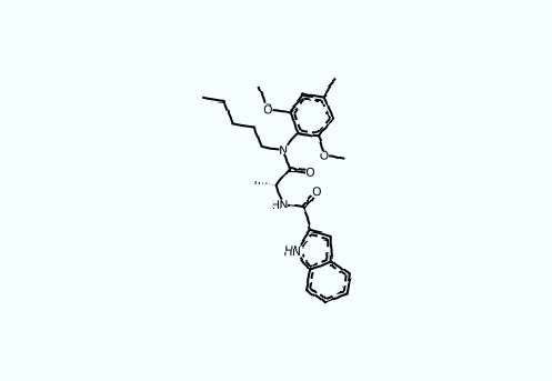 CCCCCN(C(=O)[C@@H](C)NC(=O)c1cc2ccccc2[nH]1)c1c(OC)cc(C)cc1OC